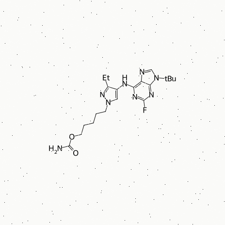 CCc1nn(CCCCCOC(N)=O)cc1Nc1nc(F)nc2c1ncn2C(C)(C)C